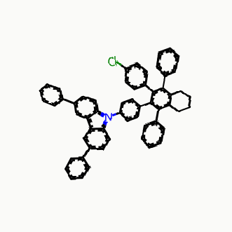 Clc1ccc(-c2c(-c3ccccc3)c3c(c(-c4ccccc4)c2-c2ccc(-n4c5ccc(-c6ccccc6)cc5c5cc(-c6ccccc6)ccc54)cc2)CCCC3)cc1